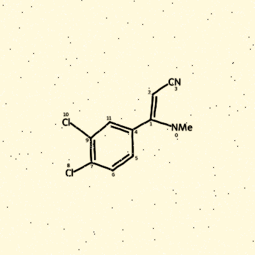 CN/C(=C\C#N)c1ccc(Cl)c(Cl)c1